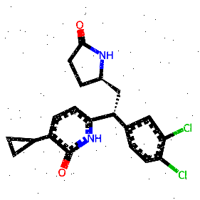 O=C1CC[C@H](C[C@H](c2ccc(Cl)c(Cl)c2)c2ccc(C3CC3)c(=O)[nH]2)N1